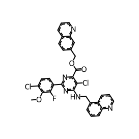 COc1c(Cl)ccc(-c2nc(NCc3cccc4ncccc34)c(Cl)c(C(=O)OCc3ccc4cccnc4c3)n2)c1F